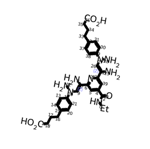 CCNC(=O)c1cc(/C(N)=C/N(N)c2ccc(CCCC(=O)O)cc2)nc(/C(N)=C/N(N)c2ccc(CCCC(=O)O)cc2)c1